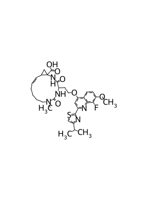 COc1ccc2c(OCCC3NC(=O)N(C)CCCCC=CC4CC4(C(=O)O)NC3=O)cc(-c3nc(C(C)C)cs3)nc2c1F